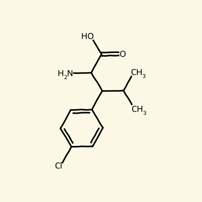 CC(C)C(c1ccc(Cl)cc1)C(N)C(=O)O